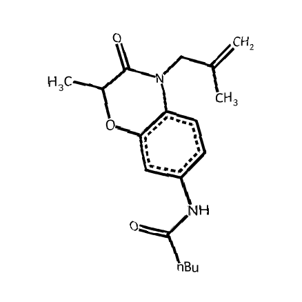 C=C(C)CN1C(=O)C(C)Oc2cc(NC(=O)CCCC)ccc21